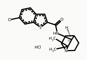 CC1(C)[C@@H](NC(=O)c2cc3ccc(Cl)cc3s2)C2CCN1CC2.Cl